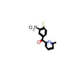 Cc1cccc(C(=O)c2ccc(F)c([N+](=O)[O-])c2)n1